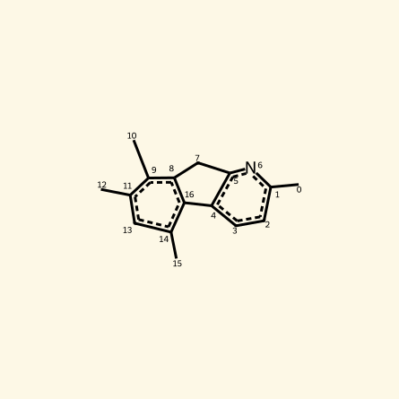 Cc1ccc2c(n1)Cc1c(C)c(C)cc(C)c1-2